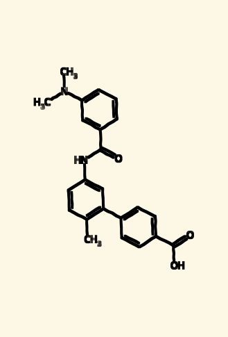 Cc1ccc(NC(=O)c2cccc(N(C)C)c2)cc1-c1ccc(C(=O)O)cc1